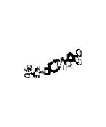 Cc1c(C(O)CN2CCC3(CC2)CCN(c2ncc(S(C)(=O)=O)cn2)C3)ccc2c1COC2=O